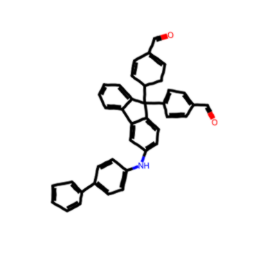 O=CC1=CCC(C2(c3ccc(C=O)cc3)c3ccccc3-c3cc(Nc4ccc(-c5ccccc5)cc4)ccc32)C=C1